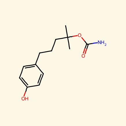 CC(C)(CCCc1ccc(O)cc1)OC(N)=O